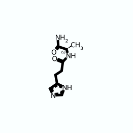 C[C@H](NC(=O)CCc1cnc[nH]1)C(N)=O